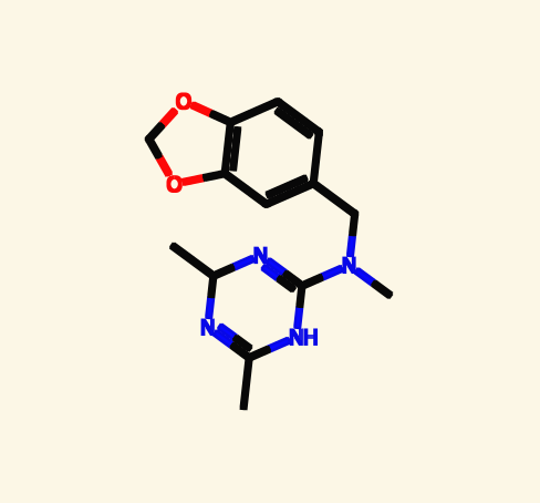 CC1=NC(C)N=C(N(C)Cc2ccc3c(c2)OCO3)N1